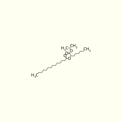 CCCCCCCCCCCCCC(=O)OC(CCCCCC)C(=O)OC(C)C